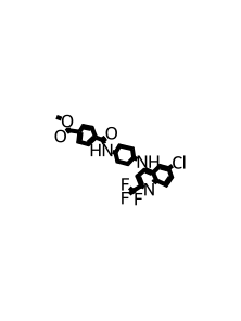 COC(=O)c1ccc(C(=O)NC2CCC(Nc3cc(C(F)(F)F)nc4ccc(Cl)cc34)CC2)cc1